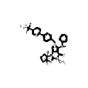 CN1C(=O)c2c(cn(Cc3ccc(-c4ccc(C(C)(F)F)cn4)cc3)c2Nc2ccccc2)N2C1=N[C@@H]1CCC[C@@H]12